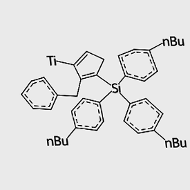 CCCCc1ccc([Si](C2=C(Cc3ccccc3)[C]([Ti])=CC2)(c2ccc(CCCC)cc2)c2ccc(CCCC)cc2)cc1